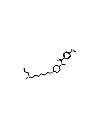 C=CCN(C)CCCCCCOC1CCC(N(C)C(=O)c2ccc(OC)cc2)CC1